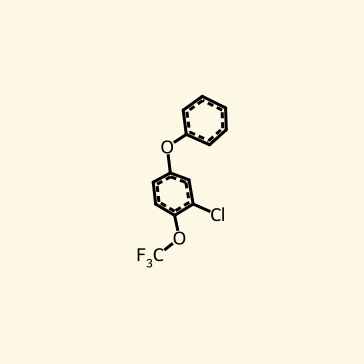 FC(F)(F)Oc1ccc(Oc2ccccc2)cc1Cl